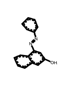 Oc1cc(N=Nc2ccccc2)c2ccccc2c1